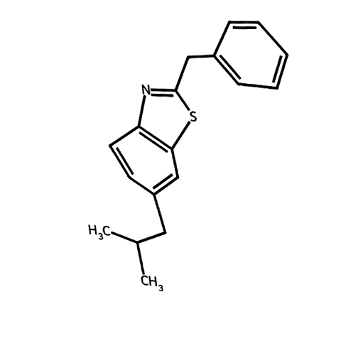 CC(C)Cc1ccc2nc(Cc3ccccc3)sc2c1